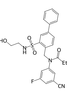 CCC(=O)N(Cc1ccc(-c2ccccc2)cc1S(=O)(=O)NCCO)c1cc(F)cc(C#N)c1